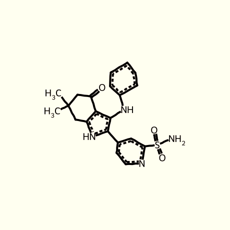 CC1(C)CC(=O)c2c([nH]c(-c3ccnc(S(N)(=O)=O)c3)c2Nc2ccccc2)C1